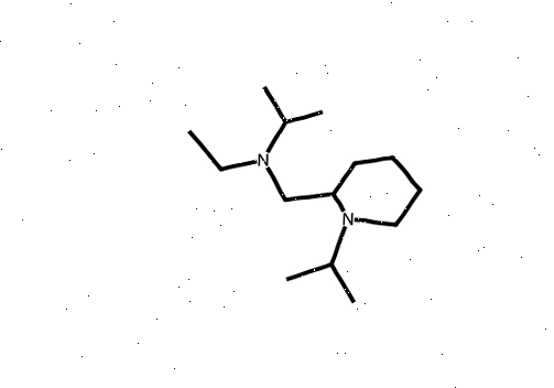 CCN(CC1CCCCN1C(C)C)C(C)C